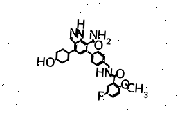 COc1ccc(F)cc1C(=O)NCc1ccc(-c2cc(C3CCC(O)CC3)c3cn[nH]c3c2C(N)=O)cc1